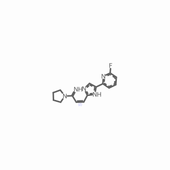 N=C(/C=C\c1ncc(-c2cccc(F)n2)[nH]1)N1CCCC1